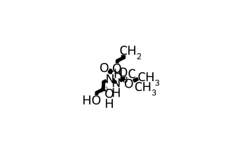 C=CCOC(=O)N(C[C@H](O)CO)NC(=O)OC(C)(C)C